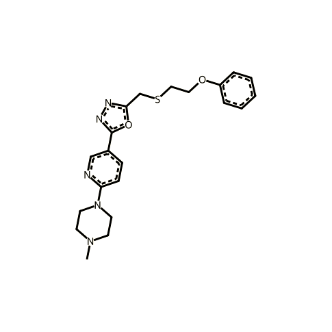 CN1CCN(c2ccc(-c3nnc(CSCCOc4ccccc4)o3)cn2)CC1